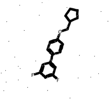 Fc1cc(F)cc(-c2ccc(OCC3CCCC3)cc2)c1